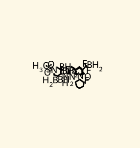 BC(F)(F)c1cc2cnc(NC3C(B)(B)CN(S(C)(=O)=O)CC3(B)B)nc2n([C@H]2CCCC[C@@H]2F)c1=O